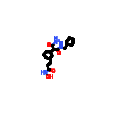 NC(=O)C(C(=O)NCc1ccccc1)c1cccc(C=CC(=O)NO)c1